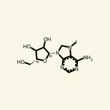 Nc1ncnc2c1N(I)CN2[C@@H]1O[C@H](CO)C(O)C1O